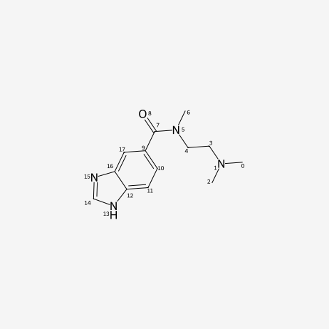 CN(C)CCN(C)C(=O)c1ccc2[nH]cnc2c1